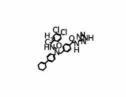 CC(NC(=O)N(Cc1ccc(C(=O)Nc2nn[nH]n2)cc1)c1ccc(C2=CCCCC2)cc1)c1ccc(Cl)c(Cl)c1